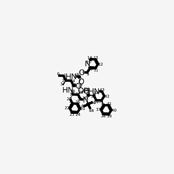 CC[C@H](C)[C@H](NC(=O)OCc1ccccn1)C(=O)N[C@@H](Cc1ccccc1)[C@H](O)CN(C(=O)[C@@H]1C[C@H](c2ccccc2)CCN1)C(C)(C)C